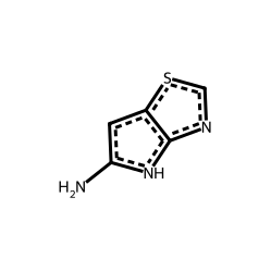 Nc1cc2scnc2[nH]1